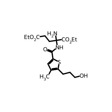 CCOC(=O)CCC(N)(NC(=O)c1cc(C)c(CCCO)s1)C(=O)OCC